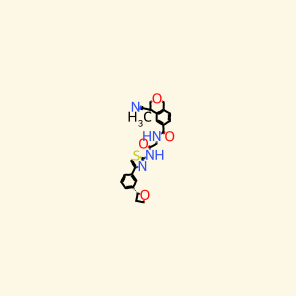 C[C@@]1(C#N)COCc2ccc(C(=O)NCC(=O)Nc3nc(-c4cccc([C@H]5CCO5)c4)cs3)cc21